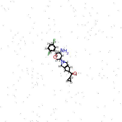 N[C@H]1C[C@@H](N2CC3=C(CC(C(=O)C4CC4)C3)C2)CO[C@@H]1c1cc(F)ccc1F